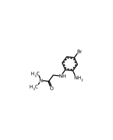 CN(C)C(=O)CNc1ccc(Br)cc1N